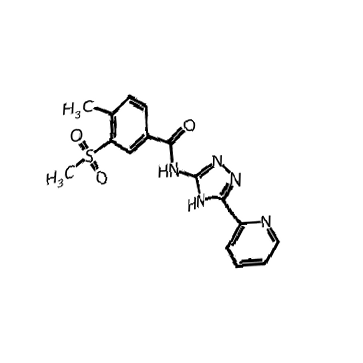 Cc1ccc(C(=O)Nc2nnc(-c3ccccn3)[nH]2)cc1S(C)(=O)=O